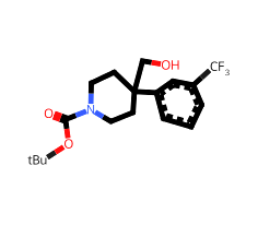 CC(C)(C)OC(=O)N1CCC(CO)(c2cccc(C(F)(F)F)c2)CC1